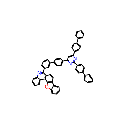 c1ccc(-c2ccc(-c3cc(-c4ccc(-c5cccc(-c6nc7ccccc7c7c6ccc6c8ccccc8oc67)c5)cc4)nc(-c4ccc(-c5ccccc5)cc4)n3)cc2)cc1